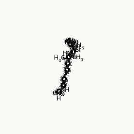 CCc1cc(Nc2ncc(Br)c(Nc3ccc4nccnc4c3P(C)(C)=O)n2)c(OC)cc1N1CCC(N2CCN(CCC3CCN(c4ccc(NC5CCC(=O)NC5=O)cc4)CC3)CC2)CC1